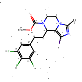 CCc1nc(I)c2n1CCN(C(=O)OC(C)(C)C)C2CCc1cc(F)c(F)c(F)c1